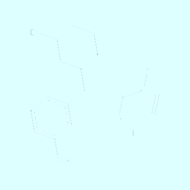 C=C.CCC1CCCC(Cc2cccc(C=O)c2)C1.CCOC(C)OCC